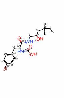 CCC(C)(C)CC(O)CNC(=O)C(Cc1ccc(Br)cc1)NC(=O)O